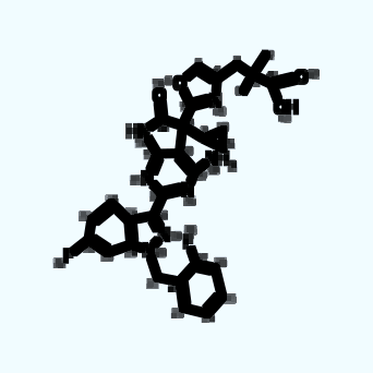 CC(C)(Cc1coc(C2(C3CC3)C(=O)Nc3nc(-c4nn(Cc5ccccc5F)c5cc(F)ccc45)nc(N)c32)n1)C(=O)O